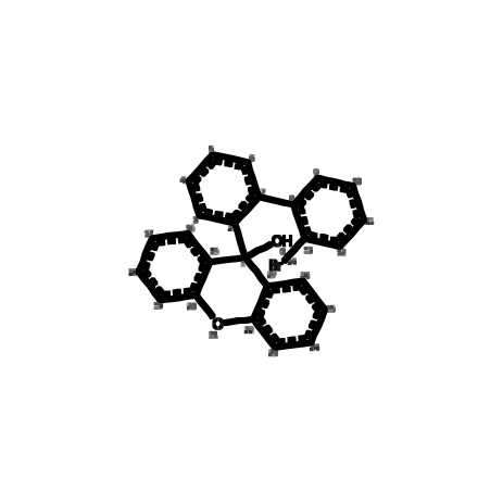 OC1(c2ccccc2-c2ccccc2Br)c2ccccc2Oc2ccccc21